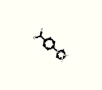 O=C(Cl)c1ccc(-n2cnnc2)cc1